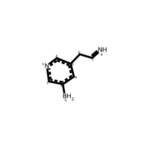 Bc1cncc(CC=N)c1